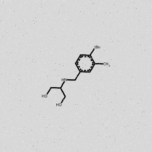 Cc1cc(CNC(CO)CO)ccc1C(C)(C)C